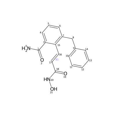 NC(=O)c1cccc(Cc2ccccc2)c1/C=C/C(=O)NO